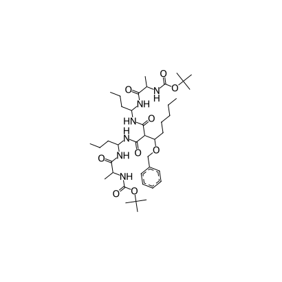 CCCCCC(OCc1ccccc1)C(C(=O)NC(CCC)NC(=O)C(C)NC(=O)OC(C)(C)C)C(=O)NC(CCC)NC(=O)C(C)NC(=O)OC(C)(C)C